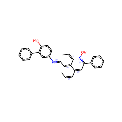 C\C=C/C(=C/C(=N/O)c1ccccc1)C(/C=C\C)=C/C=N/c1ccc(O)c(-c2ccccc2)c1